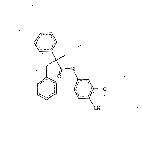 CC(Cc1ccccc1)(C(=O)Nc1ccc(C#N)c(Cl)c1)c1ccccc1